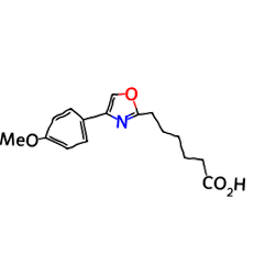 COc1ccc(-c2coc(CCCCCC(=O)O)n2)cc1